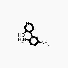 Nc1ccc(N)c(-c2ccncc2O)c1